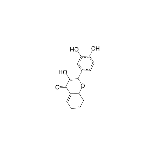 O=C1C2=CC=CCC2OC(c2ccc(O)c(O)c2)=C1O